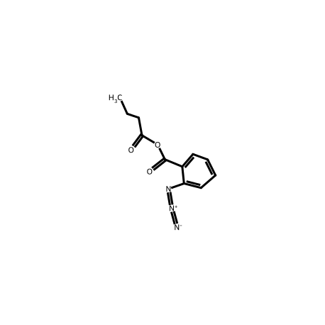 CCCC(=O)OC(=O)c1ccccc1N=[N+]=[N-]